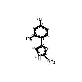 Nc1nc(-c2ccc(Cl)cc2Cl)c[nH]1